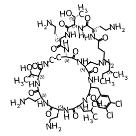 CC[C@H](C)CCCCC(=O)N[C@@H](CCN)C(=O)N[C@H](C(=O)N[C@@H](CCN)C(=O)N[C@H]1CCNC(=O)[C@H]([C@@H](C)O)NC(=O)[C@H](CCN)NC(=O)[C@H](CCN)NC(=O)[C@H](CC(C)C)NC(=O)C(Cc2ccc(Cl)c(Cl)c2)NC(=O)[C@H](CCN)NC1=O)[C@@H](C)O